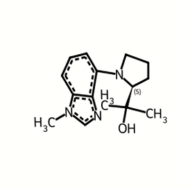 Cn1cnc2c(N3CCC[C@H]3C(C)(C)O)cccc21